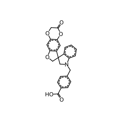 O=C1COc2cc3c(cc2O1)C1(CO3)CN(Cc2ccc(C(=O)O)cc2)c2ccccc21